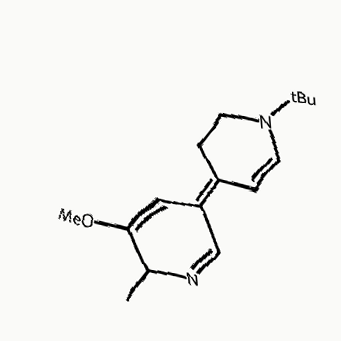 COC1=CC(=C2C=CN(C(C)(C)C)CC2)C=NC1C